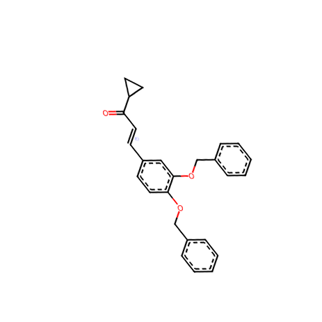 O=C(/C=C/c1ccc(OCc2ccccc2)c(OCc2ccccc2)c1)C1CC1